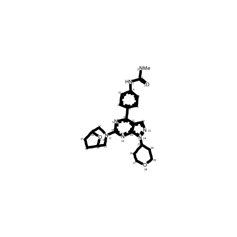 CNC(=O)Nc1ccc(-c2nc(N3CC4CCC(C3)O4)nc3c2cnn3C2CCOCC2)cc1